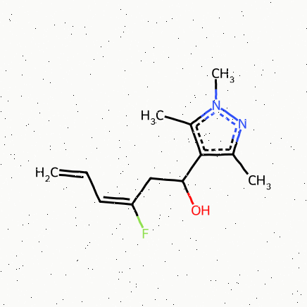 C=C/C=C(/F)CC(O)c1c(C)nn(C)c1C